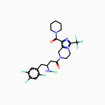 O=C(CC(Cc1cc(F)c(F)cc1F)NCl)N1CCn2c(C(F)(F)F)nc(C(=O)N3CCCCC3)c2C1